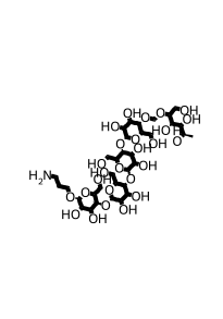 C[C@@H](O)C(O)[C@H](O)C(CO)OCO[C@@H]1C(CO)O[C@H](O[C@H]2C(CO)O[C@H](O[C@@H]3C(CO)O[C@@H](O[C@@H]4C(CO)O[C@@H](OCCCN)C(O)C4O)C(O)C3O)C(O)C2O)C(O)C1O